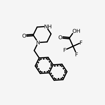 O=C(O)C(F)(F)F.O=C1CNCCN1Cc1ccc2ccccc2c1